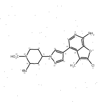 Cc1c(Cl)oc2c(N)ncc(-c3cnn(C4CCN(C(=O)O)C(C(C)(C)C)C4)c3)c12